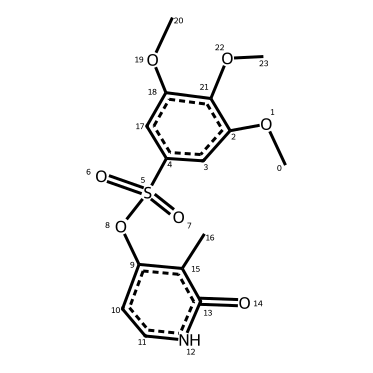 COc1cc(S(=O)(=O)Oc2cc[nH]c(=O)c2C)cc(OC)c1OC